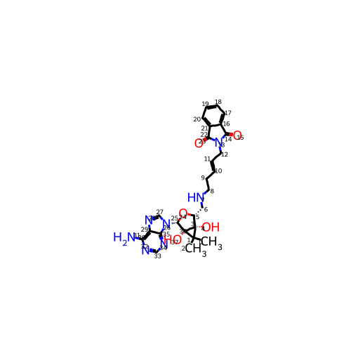 CC1(C)[C@]2(O)[C@@H](CNCC/C=C/CN3C(=O)c4ccccc4C3=O)O[C@@H](n3cnc4c(N)ncnc43)[C@]12O